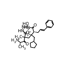 C[C@@H](N)C(=O)C(C)(C[C@@](C)(CC1CCCC1)[C@H](C/C=C/c1ccccc1)C(=O)NO)C(=O)NN